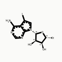 CC[C@H]1O[C@@H](n2cc(I)c3c(N)ncnc32)[C@H](O)[C@@H]1O